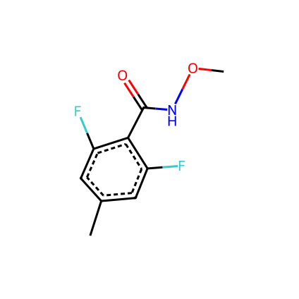 CONC(=O)c1c(F)cc(C)cc1F